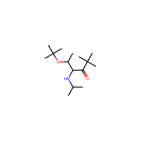 CC(C)NC(C(=O)C(C)(C)C)C(C)OC(C)(C)C